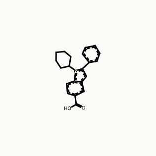 O=C(O)c1ccc2c(c1)cc(-c1ccccc1)n2C1CCCCC1